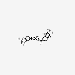 C=C1COC2CCN(C(=O)N3CCC4(C3)CN(c3ccc(C)c(C(F)(F)F)c3)C4)CC2N1